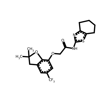 CC1(C)Cc2cc(C(F)(F)F)cc(OCC(=O)Nc3nc4c(s3)CCCC4)c2O1